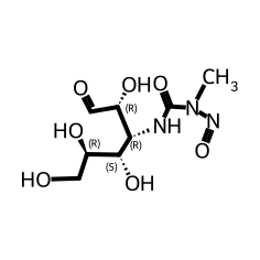 CN(N=O)C(=O)N[C@H]([C@H](O)[C@H](O)CO)[C@@H](O)C=O